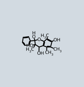 Cc1c(C)c2c(c(C)c1O)OC(O)(c1ccccc1)C(C)(O)C2O